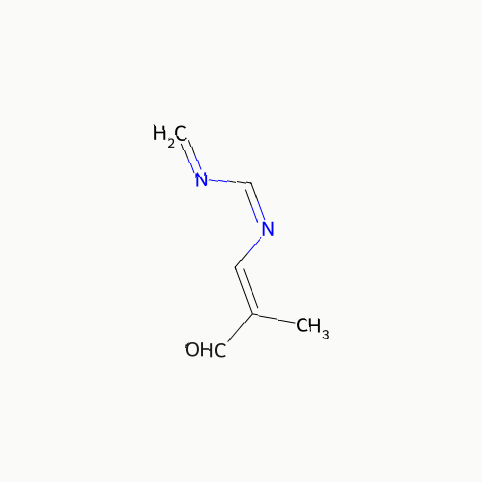 C=N/C=N\C=C(/C)C=O